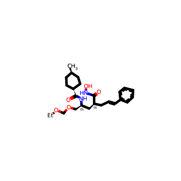 CCOCOC[C@H](C[C@H](CC=Cc1ccccc1)C(=O)NO)NC(=O)[C@H]1CC[C@H](C)CC1